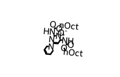 CCCCCCCCOC(=O)Nc1cc(N2CC=CCC2)nc(NC(=O)OCCCCCCCC)[n+]1[O-]